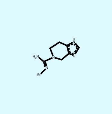 CCN=C(N)N1CCc2[nH]cnc2C1